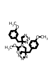 COC(=O)N(CC1(Cc2ccc(OC)cc2)C=NN=N1)C1(Cc2cccc(OC)c2)C=NN=N1